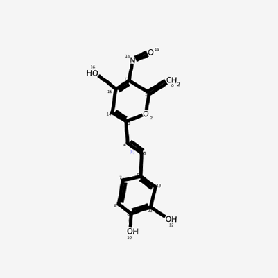 C=C1OC(/C=C/c2ccc(O)c(O)c2)=CC(O)=C1N=O